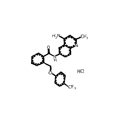 Cc1cc(N)c2cc(NC(=O)c3ccccc3COc3ccc(C(F)(F)F)cc3)ccc2n1.Cl